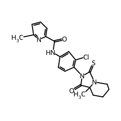 Cc1cccc(C(=O)Nc2ccc(N3C(=O)C4(C)CCCCN4C3=S)c(Cl)c2)n1